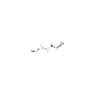 C=CCSSSC